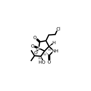 CC(C)[C@H](O)[C@]12C(=O)N[C@H]1C(CCCl)C(=O)S2(=O)=O